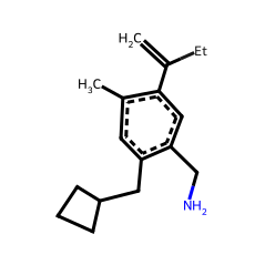 C=C(CC)c1cc(CN)c(CC2CCC2)cc1C